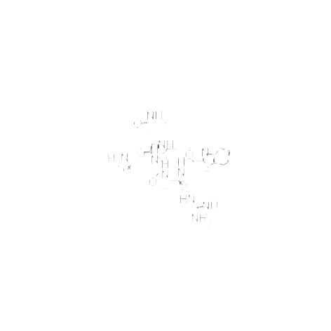 CC(=O)N[C@@H](CCC(N)=O)C(=O)N[C@@H](CCC(N)=O)C(=O)N[C@H](C(=O)N[C@@H](CCCNC(=N)N)C(=O)c1nc2ccccc2s1)C(C)C